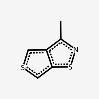 Cc1nsc2cscc12